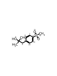 CC(O)(C=O)Cc1ccc(S(C)(=O)=O)cc1